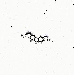 C/C=C\c1ccc2c(c1)-c1cc(/C=C\C)ccc1C2